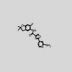 CC1(C)Cc2cc(NC(=O)c3coc(-c4ccnc(N)c4)n3)c(F)cc2O1